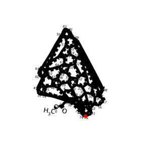 COC(=O)c1cccc(CC23c4c5c6c7c8c9c%10c%11c(c2c2c%12c3c3c%13c4c6c4c6c%13c%13c3c3c%12c%12c%14c2c%11c2c%11c%10c%10c8c8c7c4c4c6c6c%13c7c3c%12c3c(c%142)c2c%11c%10c%10c8c4c4c%10c2c3c7c64)C59N2CCSCC2)c1